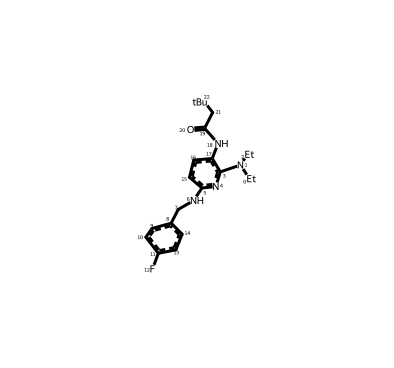 CCN(CC)c1nc(NCc2ccc(F)cc2)ccc1NC(=O)CC(C)(C)C